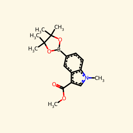 COC(=O)c1cn(C)c2ccc(B3OC(C)(C)C(C)(C)O3)cc12